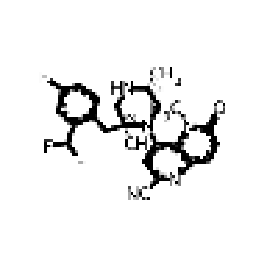 C[C@@H]1CN(c2cc(C#N)nc3ccc(=O)n(C)c23)[C@@](C)(Cc2ccc(F)cc2C(F)F)CN1